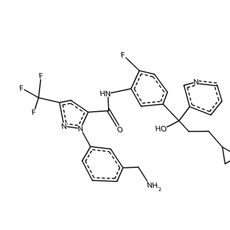 NCc1cccc(-n2nc(C(F)(F)F)cc2C(=O)Nc2cc(C(O)(CCC3CC3)c3cccnc3)ccc2F)c1